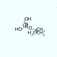 CS(C)(C)CCOCn1nc(CO)cc1CO